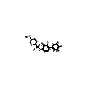 CCCC1CCC(C(F)(F)Oc2ccc(-c3cc(F)c(F)c(F)c3)c(F)c2F)OC1